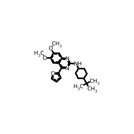 COc1cc2nc(NC3CCC(C(C)(C)C)CC3)nc(-c3ccco3)c2cc1OC